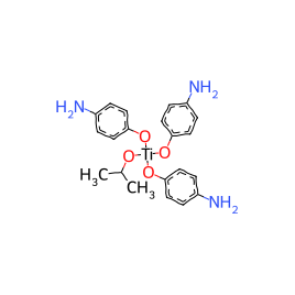 CC(C)[O][Ti]([O]c1ccc(N)cc1)([O]c1ccc(N)cc1)[O]c1ccc(N)cc1